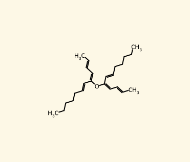 C/C=C/C=C(\C=C\CCCCC)OC(/C=C/CCCCC)=C/C=C/C